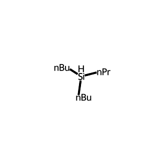 CCCC[SiH](CCC)CCCC